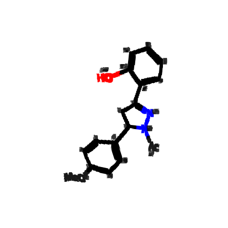 COc1ccc(C2CC(c3ccccc3O)=NN2C(C)=O)cc1